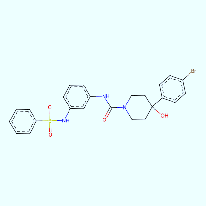 O=C(Nc1cccc(NS(=O)(=O)c2ccccc2)c1)N1CCC(O)(c2ccc(Br)cc2)CC1